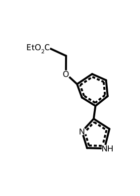 CCOC(=O)COc1cccc(-c2c[nH]cn2)c1